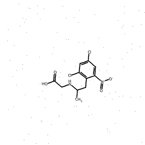 CC(Cc1c(Cl)cc(Cl)cc1[N+](=O)[O-])NCC(=O)O